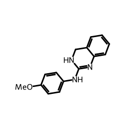 COc1ccc(NC2=Nc3ccccc3CN2)cc1